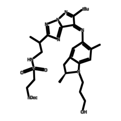 CCCCCCCCCCCCS(=O)(=O)NCC(C)c1nc2n(n1)N=C(C(C)(C)C)/C2=N/c1cc2c(cc1C)N(CCCO)[C@@H](C)C2